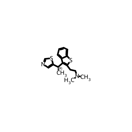 C[C@@H](c1cncs1)c1c(CCN(C)C)sc2ccccc12